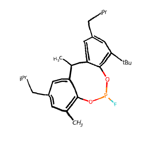 Cc1cc(CC(C)C)cc2c1OP(F)Oc1c(cc(CC(C)C)cc1C(C)(C)C)C2C